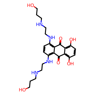 O=C1c2c(O)ccc(O)c2C(=O)c2c(NCCNCCCO)ccc(NCCNCCCO)c21